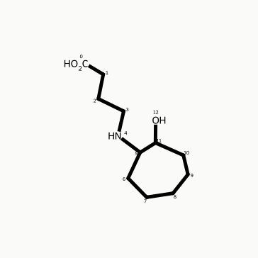 O=C(O)CCCNC1CCCCCC1O